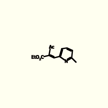 CCOC(=O)C(=Cc1cccc(C)n1)C(C)=O